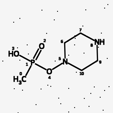 CP(=O)(O)ON1CCNCC1